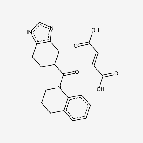 O=C(C1CCc2[nH]cnc2C1)N1CCCc2ccccc21.O=C(O)/C=C/C(=O)O